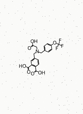 O=C(O)CN(Cc1ccc(OC(F)(F)F)cc1)Cc1ccc(C(=O)O)c(C(=O)O)c1